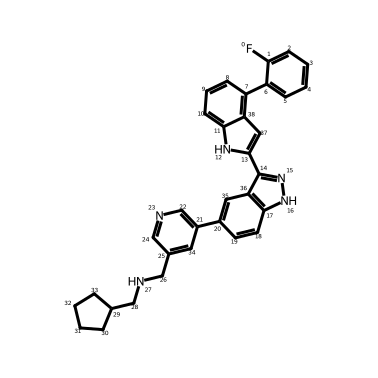 Fc1ccccc1-c1cccc2[nH]c(-c3n[nH]c4ccc(-c5cncc(CNCC6CCCC6)c5)cc34)cc12